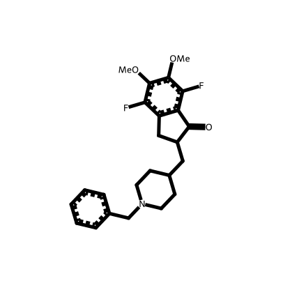 COc1c(F)c2c(c(F)c1OC)C(=O)C(CC1CCN(Cc3ccccc3)CC1)C2